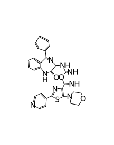 N=C(NC1N=C(c2ccccc2)c2ccccc2NC1=O)OC(=N)c1nc(-c2ccncc2)sc1N1CCOCC1